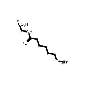 CC(C)OCCCCCC(=O)NCC(=O)O